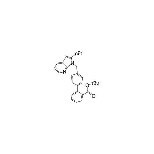 CCCc1cc2cccnc2n1Cc1ccc(-c2ccccc2C(=O)OC(C)(C)C)cc1